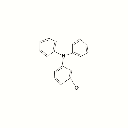 [O]c1cccc(N(c2ccccc2)c2ccccc2)c1